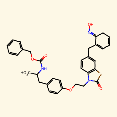 O=C(NC(Cc1ccc(OCCn2c(=O)sc3cc(CC4=CC=CCC4=NO)ccc32)cc1)C(=O)O)OCc1ccccc1